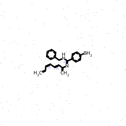 Bc1ccc(/C(=N/C(=C)/C=C/C=C\C=C)NCc2ccccc2)cc1